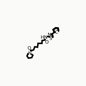 O=C(CCCCCCC(=O)N1CCCCC1)Nc1nc(-c2ccccc2)cs1